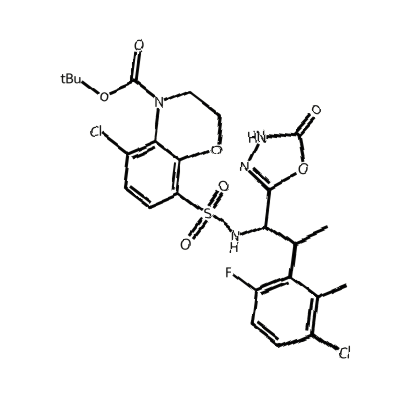 Cc1c(Cl)ccc(F)c1C(C)C(NS(=O)(=O)c1ccc(Cl)c2c1OCCN2C(=O)OC(C)(C)C)c1n[nH]c(=O)o1